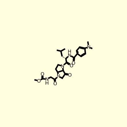 COC(=O)NCC(=O)N1CC(=O)C2C1CCN2C(=O)[C@H](CC(C)C)NC(=O)c1ccc(N(C)C)cc1